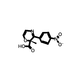 C[C@@]1(C(=O)O)OC=CN=C1c1ccc([N+](=O)[O-])cc1